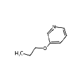 CCCOc1[c]nccc1